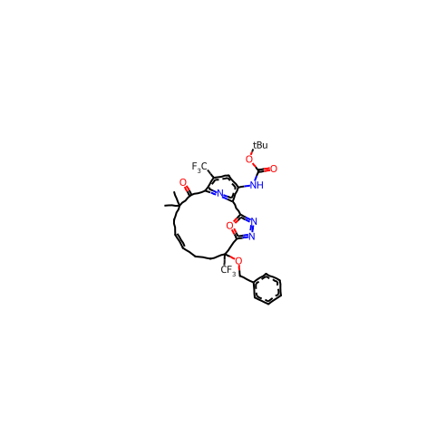 CC(C)(C)OC(=O)Nc1cc(C(F)(F)F)c2nc1-c1nnc(o1)C(OCc1ccccc1)(C(F)(F)F)CCC=CCC(C)(C)C2=O